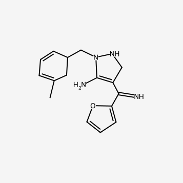 CC1=CC=CC(CN2NCC(C(=N)c3ccco3)=C2N)C1